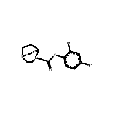 O=C(Oc1ccc(Br)cc1Br)N1CCN2CCC1CC2